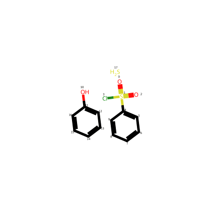 O=S(=O)(Cl)c1ccccc1.Oc1ccccc1.S